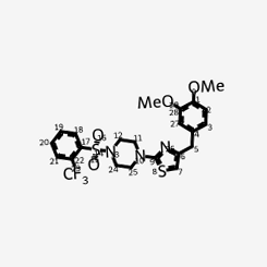 COc1ccc(Cc2csc(N3CCN(S(=O)(=O)c4ccccc4C(F)(F)F)CC3)n2)cc1OC